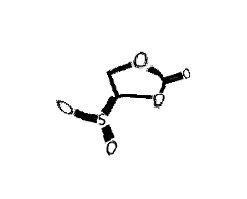 O=C1OCC(=S(=O)=O)O1